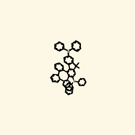 CC1(C)c2cc(N(c3ccccc3)c3ccccc3)ccc2-c2c1cc(N(c1ccccc1)c1ccccc1)c1c2-c2ccccc2-c2ccccc2-c2cc3ccccc3cc2-1